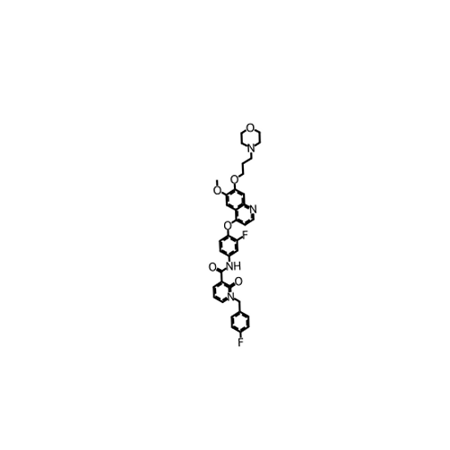 COc1cc2c(Oc3ccc(NC(=O)c4cccn(Cc5ccc(F)cc5)c4=O)cc3F)ccnc2cc1OCCCN1CCOCC1